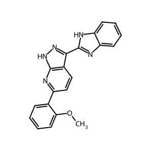 COc1ccccc1-c1ccc2c(-c3nc4ccccc4[nH]3)n[nH]c2n1